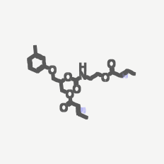 C/C=C/C(=O)OCCNC(=O)OC(COC(=O)/C=C/C)COc1cccc(C)c1